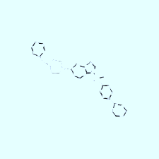 O=S(=O)(c1ccc(-c2ccccc2)cc1)n1ccc2cc(N3CCN(Cc4ccccc4)CC3)ccc21